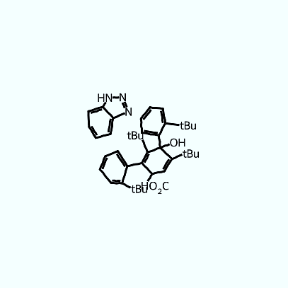 CC(C)(C)C1=CC(C(=O)O)C(c2ccccc2C(C)(C)C)=C(C(C)(C)C)C1(O)c1ccccc1C(C)(C)C.c1ccc2[nH]nnc2c1